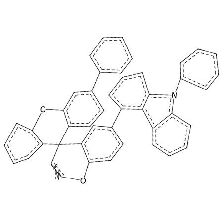 c1ccc(-c2ccc3c(c2)Oc2ccccc2C32c3ccccc3Oc3ccc(-c4cccc5c4c4ccccc4n5-c4ccccc4)cc32)cc1